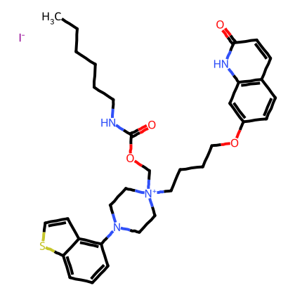 CCCCCCNC(=O)OC[N+]1(CCCCOc2ccc3ccc(=O)[nH]c3c2)CCN(c2cccc3sccc23)CC1.[I-]